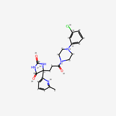 Cc1cccc(C2(CCC(=O)N3CCN(c4cccc(Cl)c4)CC3)NC(=O)NC2=O)n1